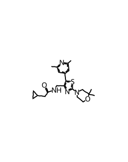 Cc1cc(-c2sc(N3CCOC(C)(C)C3)nc2CNC(=O)CC2CC2)cc(C)n1